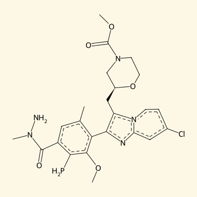 COC(=O)N1CCO[C@@H](Cc2c(-c3c(C)cc(C(=O)N(C)N)c(P)c3OC)nc3cc(Cl)ccn23)C1